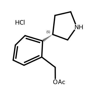 CC(=O)OCc1ccccc1[C@@H]1CCNC1.Cl